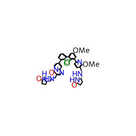 COc1cc(-c2ccc(CNC[C@@H]3CCC(=O)N3)c(OC)n2)c(Cl)c(-c2cccc(-c3ccn4c(=O)c(CNC[C@H]5CCC(=O)N5)cnc4c3)c2Cl)c1